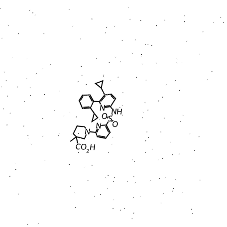 CC1(C(=O)O)CCCN(c2cccc(S(=O)(=O)Nc3ccc(C4CC4)c(-c4ccccc4C4CC4)n3)n2)C1